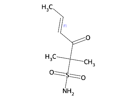 C/C=C/C(=O)C(C)(C)S(N)(=O)=O